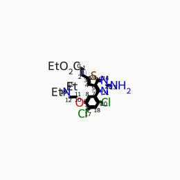 CCOC(=O)/C=C/c1cc2c(-c3cc(OCCN(CC)CC)c(Cl)cc3Cl)nc(N)nc2s1